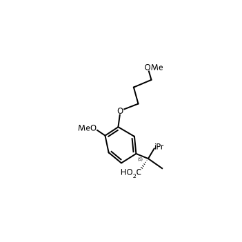 COCCCOc1cc([C@@](C)(C(=O)O)C(C)C)ccc1OC